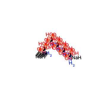 NC(CCP(=O)(O)O)P(=O)(O)O.NC(CCP(=O)(O)O)P(=O)(O)O.NC(CCP(=O)(O)O)P(=O)(O)O.NC(CCP(=O)(O)O)P(=O)(O)O.NC(CCP(=O)(O)O)P(=O)(O)O.[NaH].[NaH].[NaH].[NaH].[NaH]